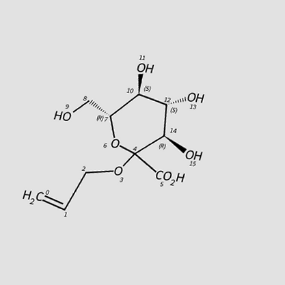 C=CCOC1(C(=O)O)O[C@H](CO)[C@@H](O)[C@H](O)[C@H]1O